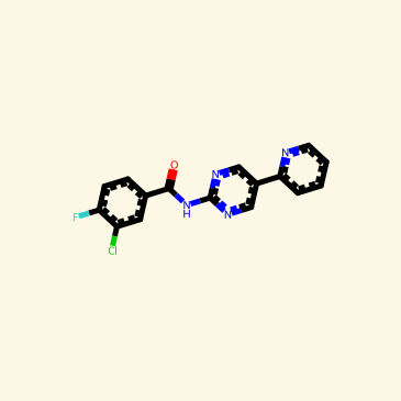 O=C(Nc1ncc(-c2ccccn2)cn1)c1ccc(F)c(Cl)c1